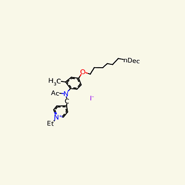 CCCCCCCCCCCCCCCCOc1ccc(N(Cc2cc[n+](CC)cc2)C(C)=O)c(C)c1.[I-]